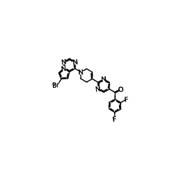 O=C(c1cnc(C2=CCN(c3ncnn4cc(Br)cc34)CC2)nc1)c1ccc(F)cc1F